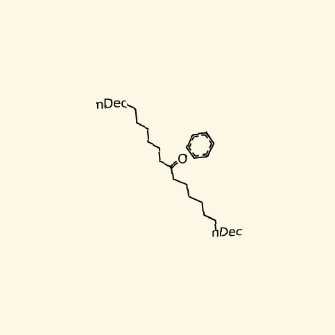 CCCCCCCCCCCCCCCCC(=O)CCCCCCCCCCCCCCCC.c1ccccc1